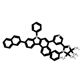 CC1(C)N=C(c2cncc(-c3cc4c(c5ccccc35)c3ccc(-c5ccc6ccccc6c5)cc3n4-c3ccccc3)c2)N(c2ccccc2)C1(C)C